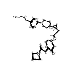 COCc1cnc(N2CCC([C@H]3C[C@H]3CCOc3ccc(CC(=O)N4CCC4)c(Cl)c3)CC2)nc1